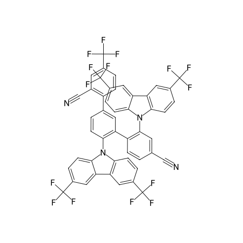 N#Cc1ccc(-c2cc(-c3ccc(C(F)(F)F)cc3C#N)ccc2-n2c3ccc(C(F)(F)F)cc3c3cc(C(F)(F)F)ccc32)c(-n2c3ccc(C(F)(F)F)cc3c3cc(C(F)(F)F)ccc32)c1